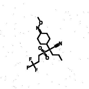 CCCC(C#N)(C1CCC(=NOC)CC1)S(=O)(=O)CCC(F)(F)F